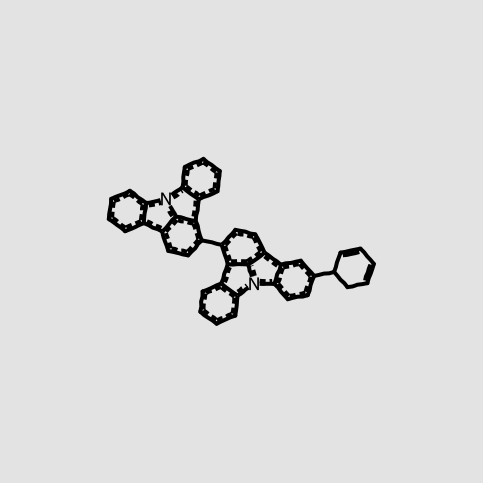 C1=CCC(c2ccc3c(c2)c2ccc(-c4ccc5c6ccccc6n6c7ccccc7c4c56)c4c5ccccc5n3c24)C=C1